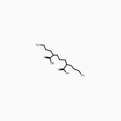 CCCCC(CCCC(CCCC)C(=O)O)C(=O)O